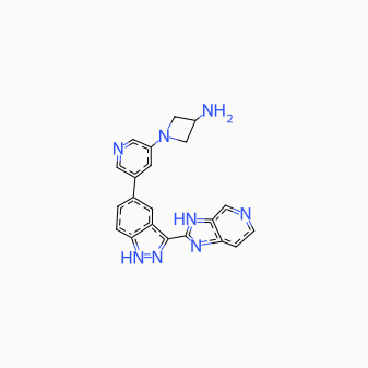 NC1CN(c2cncc(-c3ccc4[nH]nc(-c5nc6ccncc6[nH]5)c4c3)c2)C1